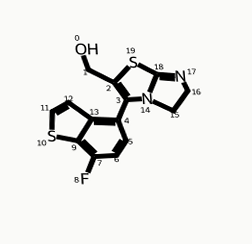 OCC1=C(c2ccc(F)c3sccc23)N2CCN=C2S1